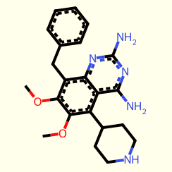 COc1c(OC)c(C2CCNCC2)c2c(N)nc(N)nc2c1Cc1ccccc1